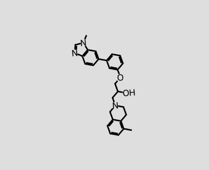 Cc1cccc2c1CCN(CC(O)COc1cccc(-c3ccc4ncn(C)c4c3)c1)C2